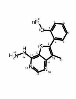 CCCOc1ccccc1-c1sc2c(NN)ncnc2c1C